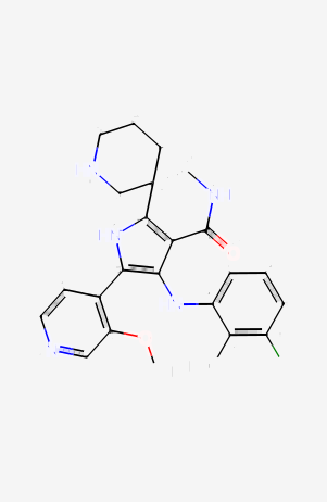 COc1cnccc1-c1[nH]c2c(c1Nc1cccc(F)c1C)C(=O)NC[C@]21CCCNC1